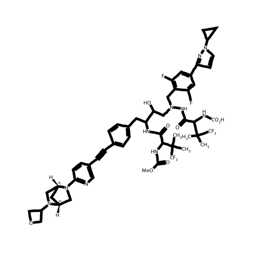 COC(=O)NC(C(=O)NC(Cc1ccc(C#Cc2ccc(N3C[C@H]4C[C@@H]3CN4C3COC3)nc2)cc1)C(O)CN(Cc1c(F)cc(-c2ccn(C3CC3)n2)cc1F)NC(=O)C(NC(=O)O)C(C)(C)C(F)(F)F)C(C)(C)C(F)(F)F